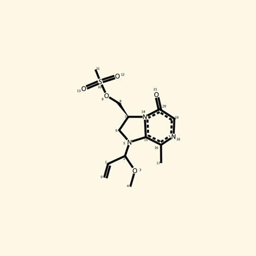 C=CC(OC)N1C[C@@H](COS(C)(=O)=O)n2c1c(C)ncc2=O